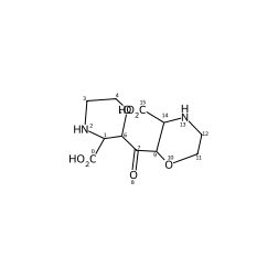 O=C(O)C1NCCOC1C(=O)C1OCCNC1C(=O)O